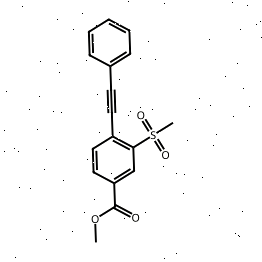 COC(=O)c1ccc(C#Cc2ccccc2)c(S(C)(=O)=O)c1